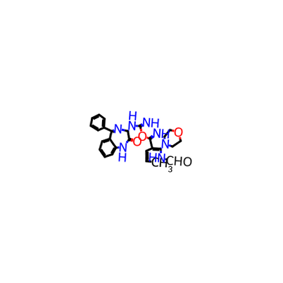 C/C=C\C(C(=N)OC(=N)NC1N=C(c2ccccc2)c2ccccc2NC1=O)=C(/NC=O)N1CCOCC1